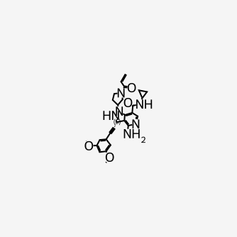 C=CC(=O)N1CCC(N2N[C@@H](C#Cc3cc(OC)cc(OC)c3)c3c(N)ncc(C(=O)NC4CC4)c32)C1